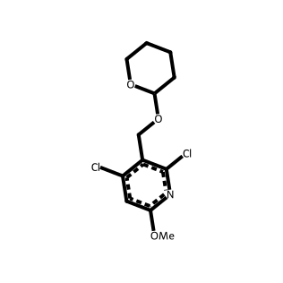 COc1cc(Cl)c(COC2CCCCO2)c(Cl)n1